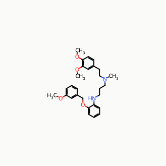 COc1cccc(COc2ccccc2NCCCN(C)CCc2ccc(OC)c(OC)c2)c1